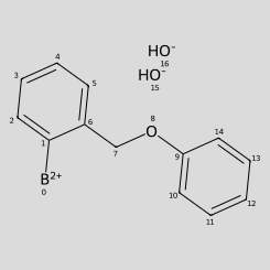 [B+2]c1ccccc1COc1ccccc1.[OH-].[OH-]